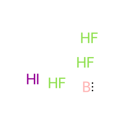 F.F.F.I.[B]